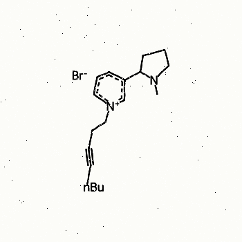 CCCCC#CCC[n+]1cccc(C2CCCN2C)c1.[Br-]